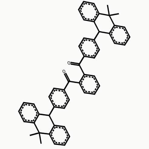 CC1(C)c2ccccc2C(c2ccc(C(=O)c3ccccc3C(=O)c3ccc(C4c5ccccc5C(C)(C)c5ccccc54)cc3)cc2)c2ccccc21